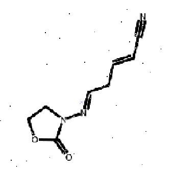 N#CC=CC/C=N/N1CCOC1=O